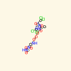 O=C1CCC(N2Cc3ccc(NCCOCCOCCOCCC(=O)N[C@H](Cc4ccccc4)C(=O)N4C/C(=C\c5ccc(Cl)c(Cl)c5)C(=O)/C(=C/c5ccc(Cl)c(Cl)c5)C4)cc3C2=O)C(=O)N1